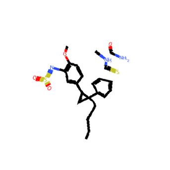 CCCCC1(c2ccccc2)CC1c1ccc(OC)c(N=S(=O)=O)c1.CNC=S.NC=O